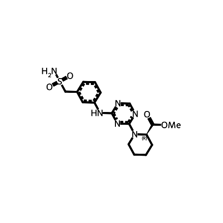 COC(=O)[C@H]1CCCCN1c1ncnc(Nc2cccc(CS(N)(=O)=O)c2)n1